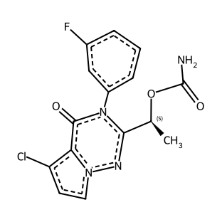 C[C@H](OC(N)=O)c1nn2ccc(Cl)c2c(=O)n1-c1cccc(F)c1